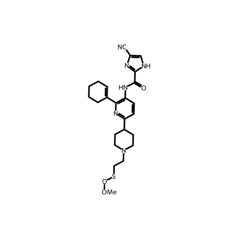 COOSCCN1CCC(c2ccc(NC(=O)c3nc(C#N)c[nH]3)c(C3=CCCCC3)n2)CC1